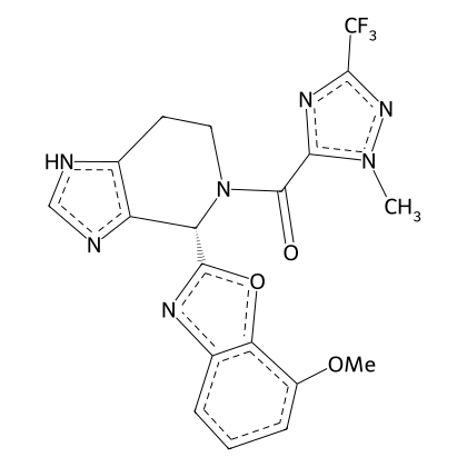 COc1cccc2nc([C@@H]3c4nc[nH]c4CCN3C(=O)c3nc(C(F)(F)F)nn3C)oc12